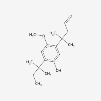 CCC(C)(C)c1cc(OC)c(C(C)(C)CC=O)cc1O